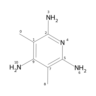 Cc1c(N)nc(N)c(C)c1N